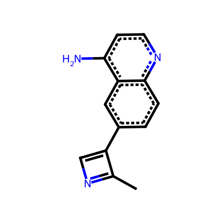 CC1=NC=C1c1ccc2nccc(N)c2c1